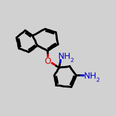 NC1=CC=CC(N)(Oc2cccc3ccccc23)C1